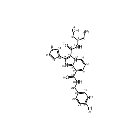 CC(C)C[C@H](CO)NC(=O)c1c(-c2ccsc2)nc2c(C(=O)NCc3ccc(Cl)nc3)cccn12